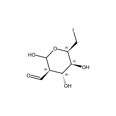 O=C[C@H]1C(O)O[C@@H](CI)[C@@H](O)[C@@H]1O